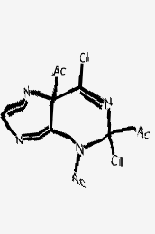 CC(=O)N1C2=NC=NC2(C(C)=O)C(Cl)=NC1(Cl)C(C)=O